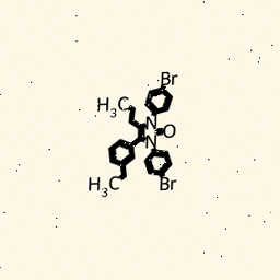 CCCc1c(-c2cccc(CC)c2)n(-c2ccc(Br)cc2)c(=O)n1-c1ccc(Br)cc1